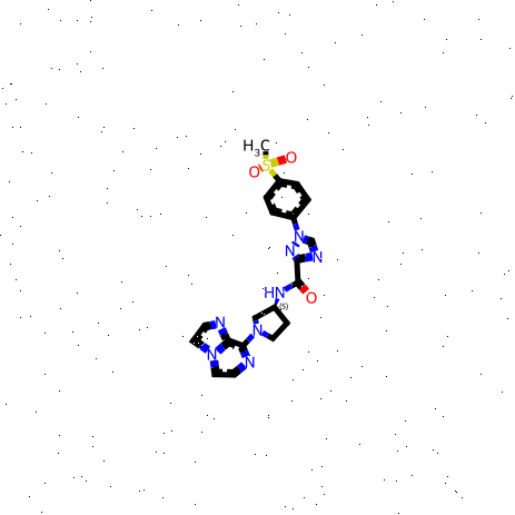 CS(=O)(=O)c1ccc(-n2cnc(C(=O)N[C@H]3CCN(c4nccn5ccnc45)C3)n2)cc1